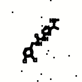 CNC(C)c1csc(NC(=O)NCc2ccc(Cl)c(Cl)c2)n1